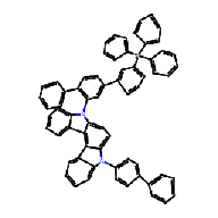 c1ccc(-c2ccc(-n3c4ccccc4c4c5c6ccccc6n(-c6cc(-c7cccc([Si](c8ccccc8)(c8ccccc8)c8ccccc8)c7)ccc6-c6ccccc6)c5ccc43)cc2)cc1